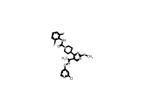 CSc1ncc(C(C)=NOc2ccnc(Cl)c2)c(C2CCN(C(=O)Nc3c(F)cccc3F)CC2)n1